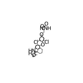 CC12CCCc3c(Oc4c(Cl)cc(OCc5noc(=O)[nH]5)cc4Cl)ccc(c31)NC2=O